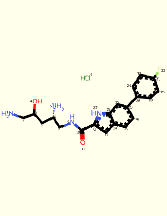 Cl.NCC(O)C[C@H](N)CNC(=O)c1cc2ccc(-c3ccc(F)cc3)cc2[nH]1